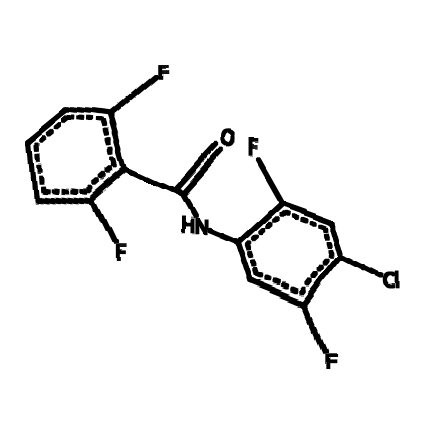 O=C(Nc1cc(F)c(Cl)cc1F)c1c(F)cccc1F